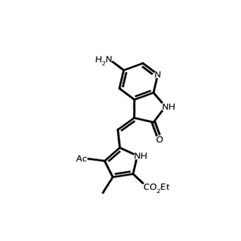 CCOC(=O)c1[nH]c(C=C2C(=O)Nc3ncc(N)cc32)c(C(C)=O)c1C